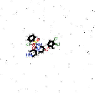 Cc1c(OC2CC[N+](C(=O)NS(=O)(=O)c3ccccc3Cl)(C3CCNCC3)CC2)ccc(Cl)c1Cl